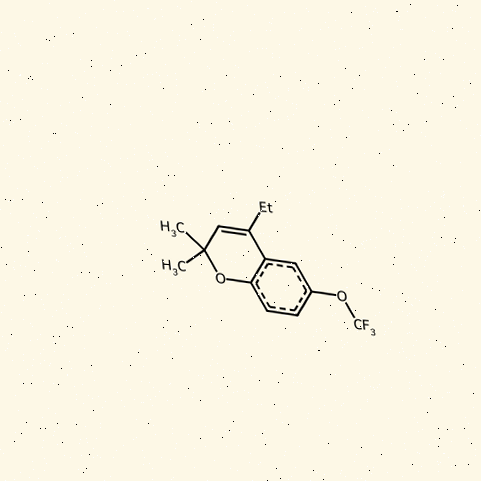 CCC1=CC(C)(C)Oc2ccc(OC(F)(F)F)cc21